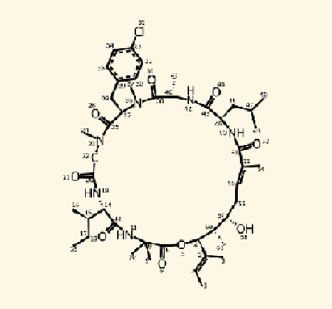 C/C=C(\C)[C@H]1OC(=O)C(C)(C)NC(=O)[C@H]([C@H](C)CC)NC(=O)CN(C)C(=O)[C@@H](Cc2ccc(Cl)cc2)N(C)C(=O)[C@H](C)NC(=O)[C@@H](CC(C)C)NC(=O)/C(C)=C/C[C@H](O)[C@@H]1C